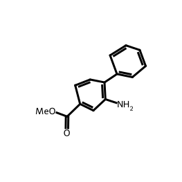 COC(=O)c1ccc(-c2ccccc2)c(N)c1